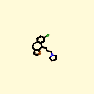 Brc1ccc2c(c1)/C(=C/CCN1CCCC1)c1sccc1CC2